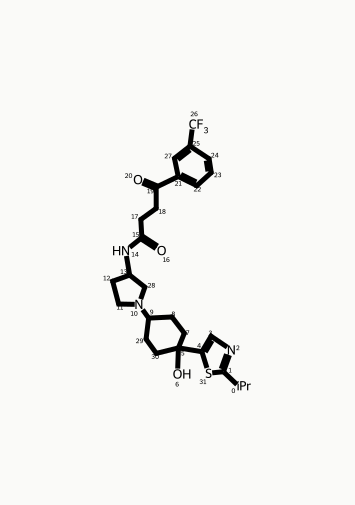 CC(C)c1ncc(C2(O)CCC(N3CCC(NC(=O)CCC(=O)c4cccc(C(F)(F)F)c4)C3)CC2)s1